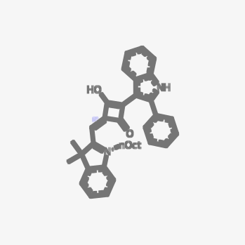 CCCCCCCC[N+]1=C(/C=C2\C(=O)C(c3c(-c4ccccc4)[nH]c4ccccc34)=C2O)C(C)(C)c2ccccc21